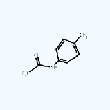 O=C(Nc1[c]cc(C(F)(F)F)cc1)C(F)(F)F